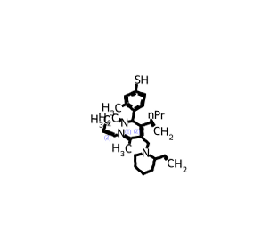 C=CC1CCCCN1CC(=C(\C(=C)CCC)C(N=C)c1ccc(S)cc1C)/C(C)=N/C=C\C